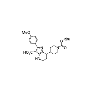 COc1ccc(-c2nc3n(c2C(=O)O)NCCC3C2CCN(C(=O)OC(C)(C)C)CC2)cc1